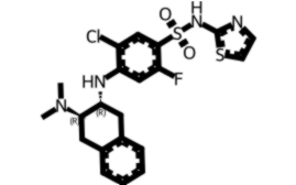 CN(C)[C@@H]1Cc2ccccc2C[C@H]1Nc1cc(F)c(S(=O)(=O)Nc2nccs2)cc1Cl